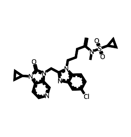 C=C(CCCn1c(Cn2c(=O)n(C3CC3)c3ccncc32)nc2cc(Cl)ccc21)N(C)S(=O)(=O)C1CC1